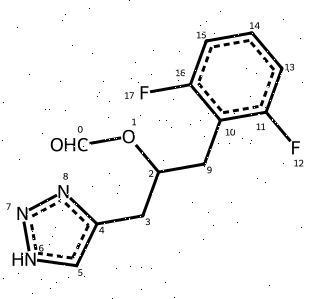 O=COC(Cc1c[nH]nn1)Cc1c(F)cccc1F